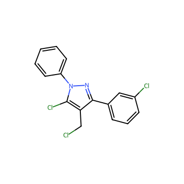 ClCc1c(-c2cccc(Cl)c2)nn(-c2ccccc2)c1Cl